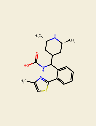 Cc1csc(-c2ccccc2C(NC(=O)O)C2C[C@@H](C)N[C@@H](C)C2)n1